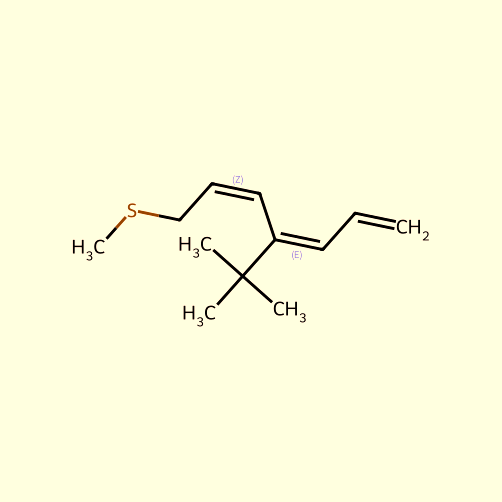 C=C/C=C(\C=C/CSC)C(C)(C)C